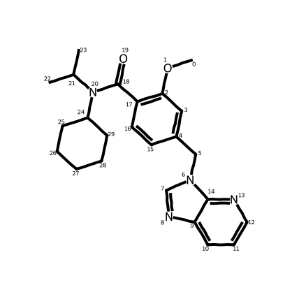 COc1cc(Cn2cnc3cccnc32)ccc1C(=O)N(C(C)C)C1CCCCC1